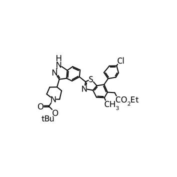 CCOC(=O)Cc1c(C)cc2nc(-c3ccc4[nH]nc(C5CCN(C(=O)OC(C)(C)C)CC5)c4c3)sc2c1-c1ccc(Cl)cc1